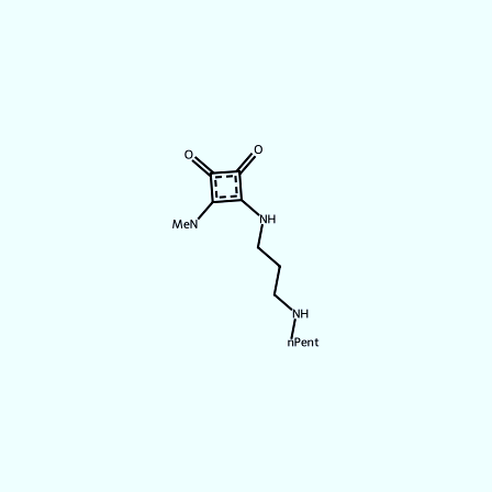 CCCCCNCCCNc1c(NC)c(=O)c1=O